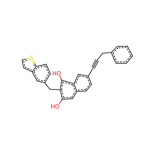 Oc1cc2ccc(C#CCc3ccccc3)cc2c(O)c1Cc1ccc2sccc2c1